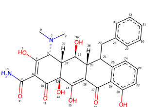 CN(C)[C@H]1C(O)=C(C(N)=O)C(=O)[C@@]2(O)C(O)=C3C(=O)c4c(O)cccc4C(Cc4ccccc4)[C@H]3[C@H](O)[C@@H]12